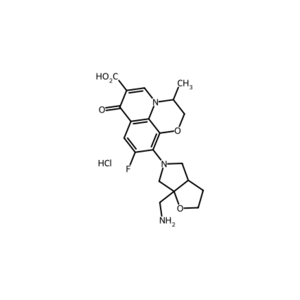 CC1COc2c(N3CC4CCOC4(CN)C3)c(F)cc3c(=O)c(C(=O)O)cn1c23.Cl